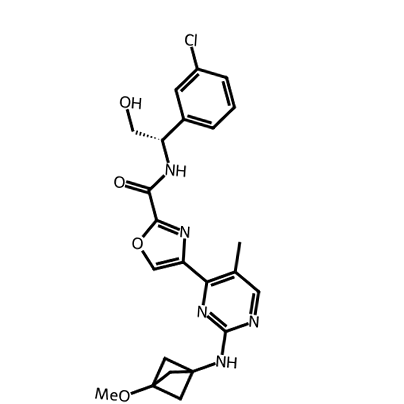 COC12CC(Nc3ncc(C)c(-c4coc(C(=O)N[C@H](CO)c5cccc(Cl)c5)n4)n3)(C1)C2